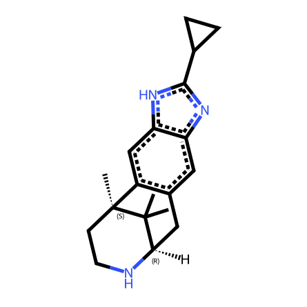 CC1(C)[C@H]2Cc3cc4nc(C5CC5)[nH]c4cc3[C@]1(C)CCN2